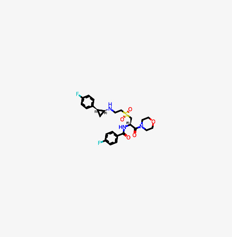 O=C(N[C@@H](CS(=O)(=O)CCN[C@@H]1C[C@H]1c1ccc(F)cc1)C(=O)N1CCOCC1)c1ccc(F)cc1